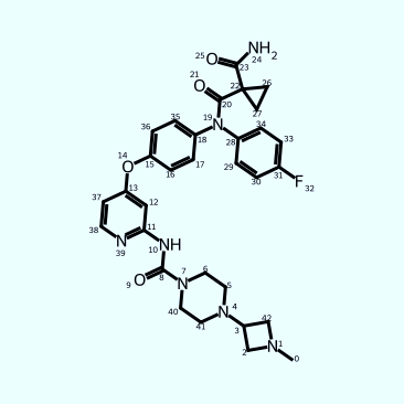 CN1CC(N2CCN(C(=O)Nc3cc(Oc4ccc(N(C(=O)C5(C(N)=O)CC5)c5ccc(F)cc5)cc4)ccn3)CC2)C1